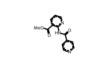 COC(=O)c1cccnc1NC(=O)c1ccncc1